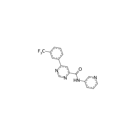 O=C(Nc1cccnc1)c1cc(-c2cccc(C(F)(F)F)c2)ncn1